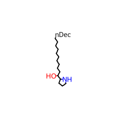 CCCCCCCCCCCCCCCCCCCCC(O)C1CCCN1